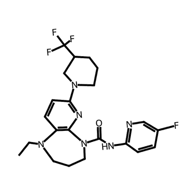 CCN1CCCN(C(=O)Nc2ccc(F)cn2)c2nc(N3CCCC(C(F)(F)F)C3)ccc21